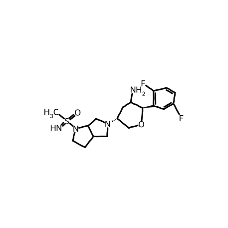 CS(=N)(=O)N1CCC2CN([C@H]3CO[C@H](c4cc(F)ccc4F)C(N)C3)CC21